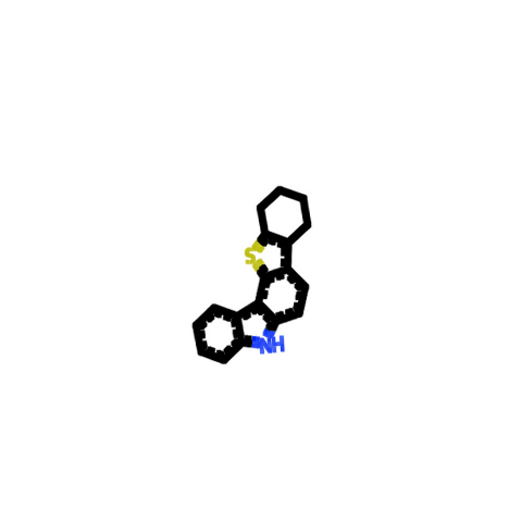 c1ccc2c(c1)[nH]c1ccc3c4c(sc3c12)CCCC4